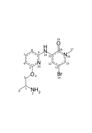 CC(N)COc1cccc(Nc2cc(Br)cn(C)c2=O)n1